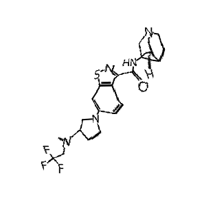 CN(CC(F)(F)F)C1CCN(c2ccc3c(C(=O)N[C@@H]4CN5CCC4CC5)nsc3c2)C1